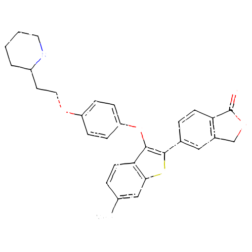 COc1ccc2c(Oc3ccc(OCCC4CCCCN4)cc3)c(-c3ccc4c(c3)COC4=O)sc2c1